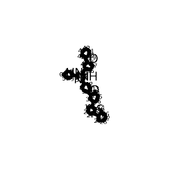 c1ccc(C2=NC(c3ccc4c(c3)oc3ccc(-c5cccc6c5sc5ccccc56)cc34)NC(c3ccc4oc5ccccc5c4c3)N2)cc1